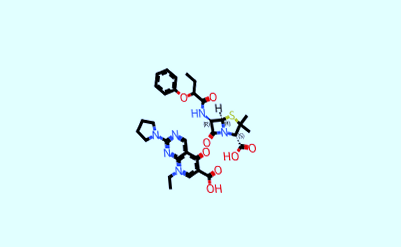 CCC(Oc1ccccc1)C(=O)N[C@@H]1C(=O)N2[C@@H]1SC(C)(C)[C@@H]2C(=O)O.CCn1cc(C(=O)O)c(=O)c2cnc(N3CCCC3)nc21